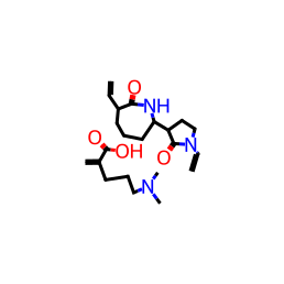 C=C(CCCN(C)C)C(=O)O.C=CC1CCCC(C2CCN(C=C)C2=O)NC1=O